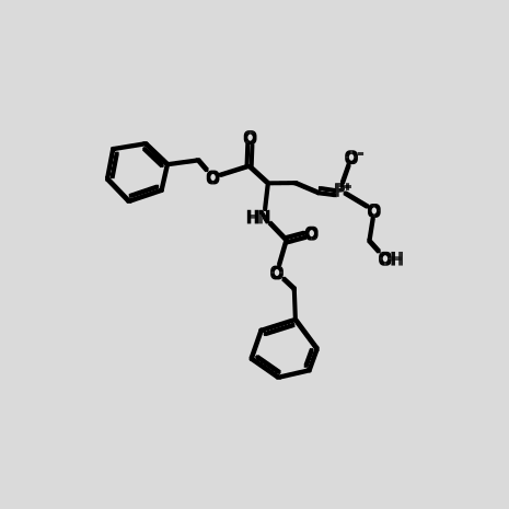 O=C(NC(C/C=[P+](\[O-])OCO)C(=O)OCc1ccccc1)OCc1ccccc1